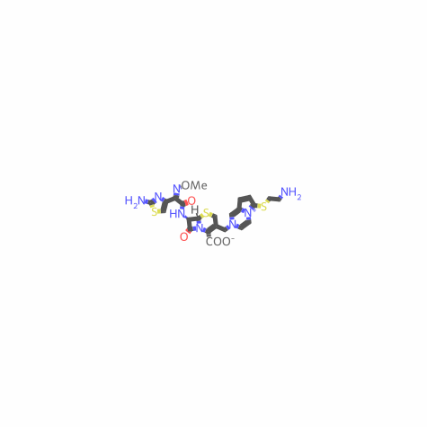 CO/N=C(\C(=O)N[C@@H]1C(=O)N2C(C(=O)[O-])=C(Cn3cc[n+]4c(SCCN)ccc-4c3)CS[C@H]12)c1csc(N)n1